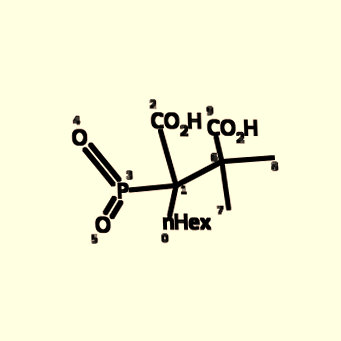 CCCCCCC(C(=O)O)(P(=O)=O)C(C)(C)C(=O)O